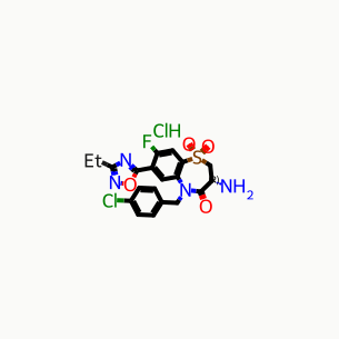 CCc1noc(-c2cc3c(cc2F)S(=O)(=O)C[C@H](N)C(=O)N3Cc2ccc(Cl)cc2)n1.Cl